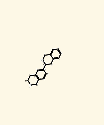 [c]1ccc2c(c1)COC(c1ccc3c(c1)CCOC3)C2